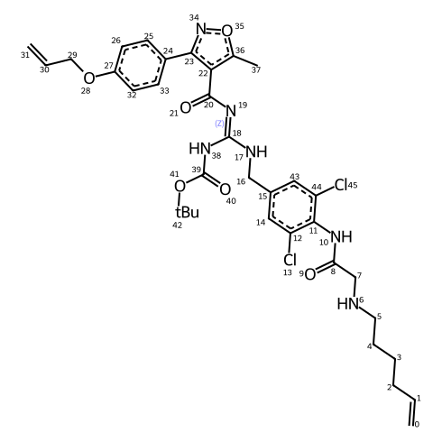 C=CCCCCNCC(=O)Nc1c(Cl)cc(CN/C(=N/C(=O)c2c(-c3ccc(OCC=C)cc3)noc2C)NC(=O)OC(C)(C)C)cc1Cl